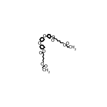 C=CC(=O)OCCCCCC(=O)Oc1ccc(Oc2ccc(Oc3ccc(OC(=O)CCCCCOC(=O)C=C)cc3)cc2)cc1